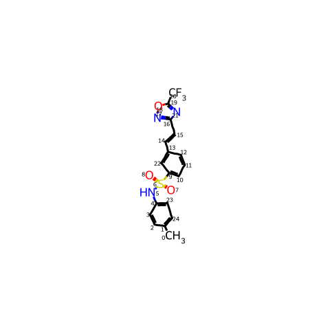 Cc1ccc(NS(=O)(=O)c2cccc(C=Cc3noc(C(F)(F)F)n3)c2)cc1